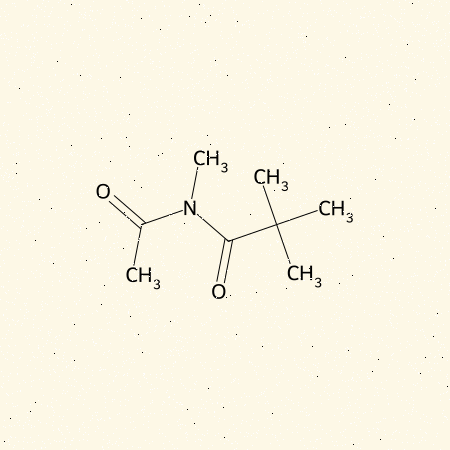 CC(=O)N(C)C(=O)C(C)(C)C